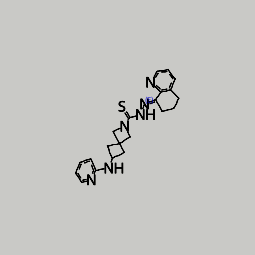 S=C(N/N=C1\CCCc2cccnc21)N1CC2(CC(Nc3ccccn3)C2)C1